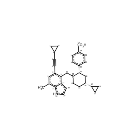 Cc1cc(C#CC2CC2)c(CN2CC[C@@H](C3CC3)C[C@H]2c2ccc(C(=O)O)cc2)c2cc[nH]c12